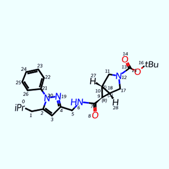 CC(C)Cc1cc(CNC(=O)[C@H]2[C@@H]3CN(C(=O)OC(C)(C)C)C[C@@H]32)nn1-c1ccccc1